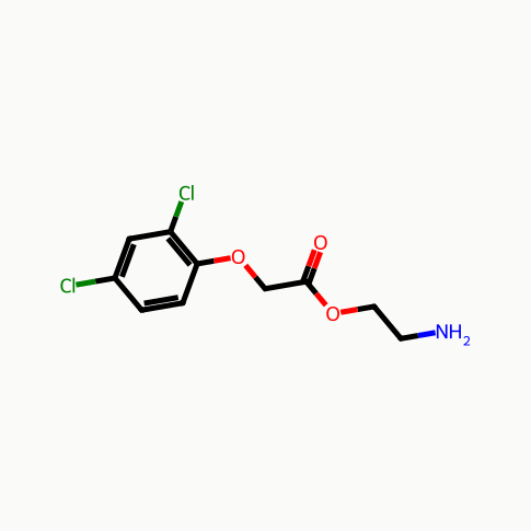 NCCOC(=O)COc1ccc(Cl)cc1Cl